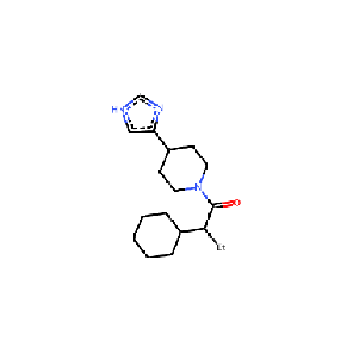 CCC(C(=O)N1CCC(c2c[nH]cn2)CC1)C1CCCCC1